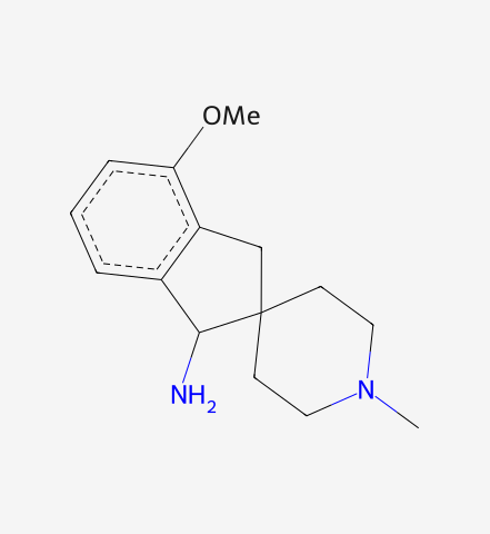 COc1cccc2c1CC1(CCN(C)CC1)C2N